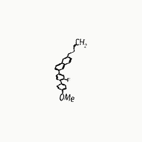 C=CCCc1ccc2cc(-c3ccc(-c4ccc(OC)cc4)c(F)c3)ccc2c1